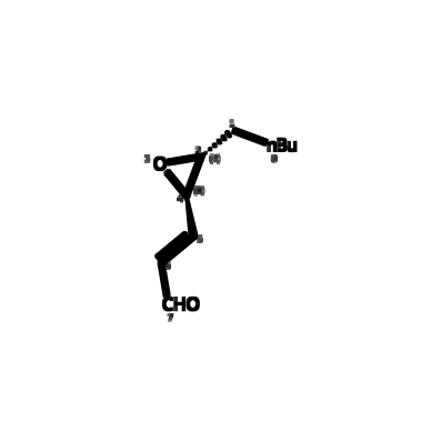 CCCCC[C@H]1O[C@@H]1C=CC=O